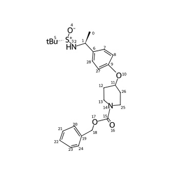 C[C@H](N[S@@+]([O-])C(C)(C)C)c1ccc(OC2CCN(C(=O)OCc3ccccc3)CC2)cc1